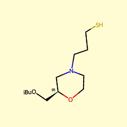 CC(C)COC[C@H]1CN(CCCS)CCO1